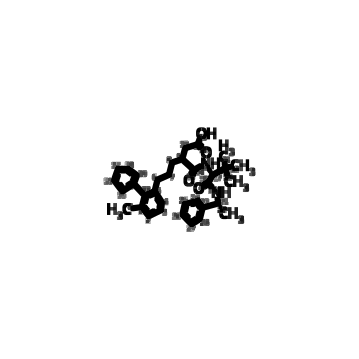 Cc1cccc(CCCC(CC(=O)O)C(=O)N[C@H](C(=O)N[C@H](C)c2ccccc2)C(C)(C)C)c1-c1ccccc1